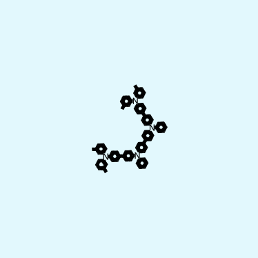 CC1=CCCC(N(c2ccc(-c3ccc(N(c4ccccc4)c4ccc(-c5ccc(N(c6ccccc6)c6ccc(-c7ccc(N(c8cccc(C)c8)c8cccc(C)c8)cc7)cc6)cc5)cc4)cc3)cc2)c2cccc(C)c2)=C1